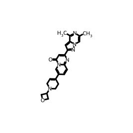 Cc1cn2nc(-c3cc(=O)n4cc(C5=CCN(C6COC6)CC5)ccc4n3)cc2c(C)n1